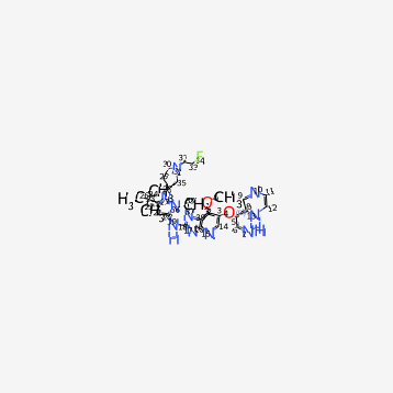 COc1c(O/C(C=N)=C2\C=NC=CN2)cnc2nc(Nc3cc(C(C)(C)C)n(C4CCN(CCF)C4)n3)n(C)c12